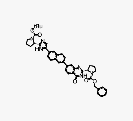 CC(C)(C)OC(=O)N1CCC[C@H]1c1ncc(-c2ccc3cc(-c4ccc5c(=O)[nH]c([C@@H]6CCCN6C(=O)OCc6ccccc6)nc5c4)ccc3c2)[nH]1